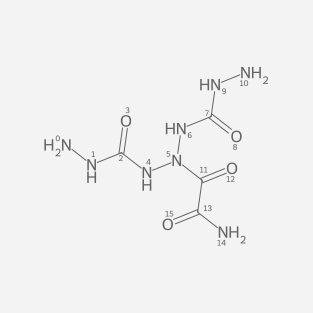 NNC(=O)NN(NC(=O)NN)C(=O)C(N)=O